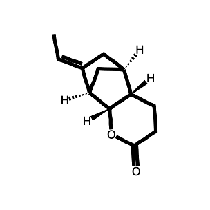 C/C=C1\C[C@@H]2C[C@H]1[C@H]1OC(=O)CC[C@@H]21